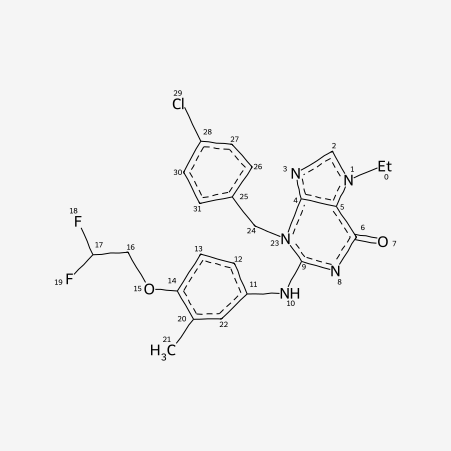 CCn1cnc2c1c(=O)nc(Nc1ccc(OCC(F)F)c(C)c1)n2Cc1ccc(Cl)cc1